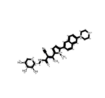 C/C(=C(/C#N)C(=O)NC[C@H]1OC[C@H](O)[C@@H](O)[C@@H]1O)c1ccc(-c2ccc3cc(N4CCOCC4)ccc3c2)n1C